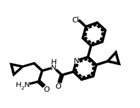 NC(=O)C(CC1CC1)NC(=O)c1ccc(C2CC2)c(-c2cccc(Cl)c2)n1